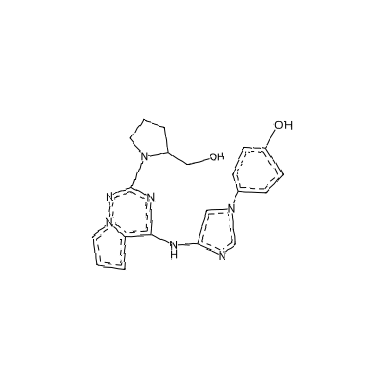 OCC1CCCN1c1nc(Nc2cn(-c3ccc(O)cc3)cn2)c2cccn2n1